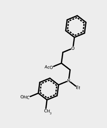 CCN(CC(COc1ccccc1)OC(C)=O)c1ccc(C=O)c(C)c1